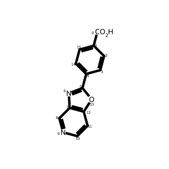 O=C(O)c1ccc(-c2nc3cnccc3o2)cc1